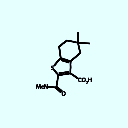 CNC(=O)c1sc2c(c1C(=O)O)CC(C)(C)CC2